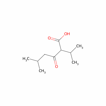 CC(C)CC(=O)C(C(=O)O)C(C)C